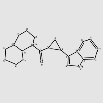 O=C(C1CC1c1c[nH]c2ccccc12)N1CCCC2CCCCC21